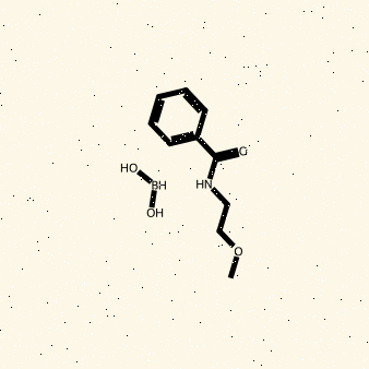 COCCNC(=O)c1ccccc1.OBO